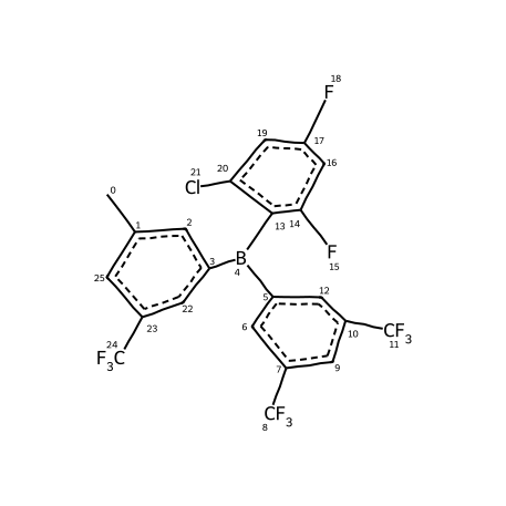 Cc1cc(B(c2cc(C(F)(F)F)cc(C(F)(F)F)c2)c2c(F)cc(F)cc2Cl)cc(C(F)(F)F)c1